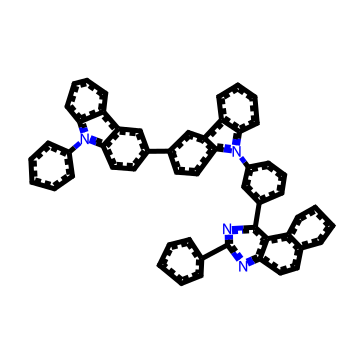 c1ccc(-c2nc(-c3cccc(-n4c5ccccc5c5cc(-c6ccc7c(c6)c6ccccc6n7-c6ccccc6)ccc54)c3)c3c(ccc4ccccc43)n2)cc1